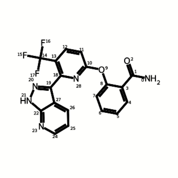 NC(=O)c1ccccc1Oc1ccc(C(F)(F)F)c(-c2n[nH]c3ncccc23)n1